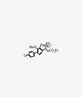 CCOC(=O)CN(c1ccc(-c2ccc(Cl)cc2)c(OC)c1F)S(C)(=O)=O